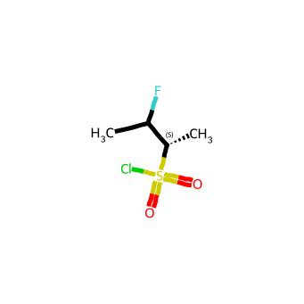 CC(F)[C@H](C)S(=O)(=O)Cl